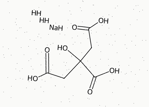 O=C(O)CC(O)(CC(=O)O)C(=O)O.[HH].[HH].[NaH]